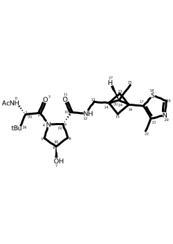 CC(=O)N[C@H](C(=O)N1C[C@H](O)C[C@H]1C(=O)NCC12CC(c3scnc3C)(C1)[C@H]2C)C(C)(C)C